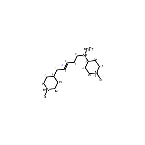 CCCN(CC/C=C/CC1CCN(C)CC1)C1CCN(C)CC1